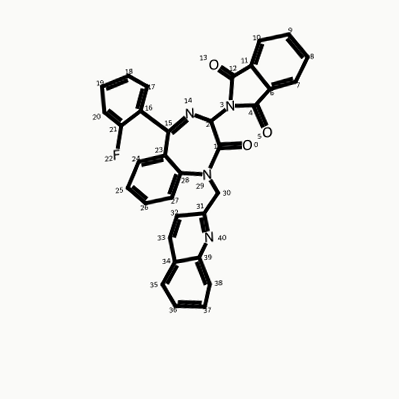 O=C1C(N2C(=O)c3ccccc3C2=O)N=C(c2ccccc2F)c2ccccc2N1Cc1ccc2ccccc2n1